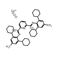 CC(=Nc1c(C2CCCCC2)cc(C)cc1C1CCCCC1)c1cccc(C(C)=Nc2c(C3CCCCC3)cc(C)cc2C2CCCCC2)n1.[Cl-].[Cl-].[Cl-].[Co+3]